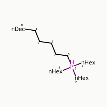 CCCCCCCCCCCCCCC[PH](CCCCCC)(CCCCCC)CCCCCC